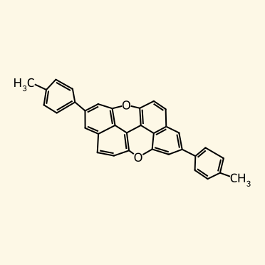 Cc1ccc(-c2cc3ccc4oc5cc(-c6ccc(C)cc6)cc6ccc7oc(c2)c3c4-c7c65)cc1